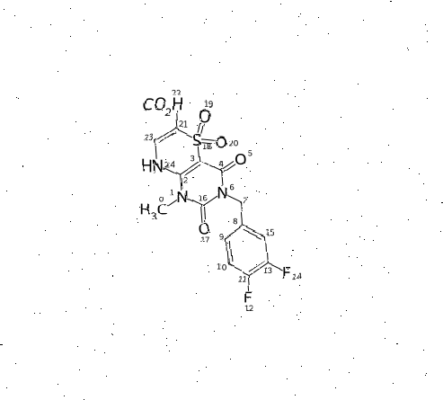 Cn1c2c(c(=O)n(Cc3ccc(F)c(F)c3)c1=O)S(=O)(=O)C(C(=O)O)=CN2